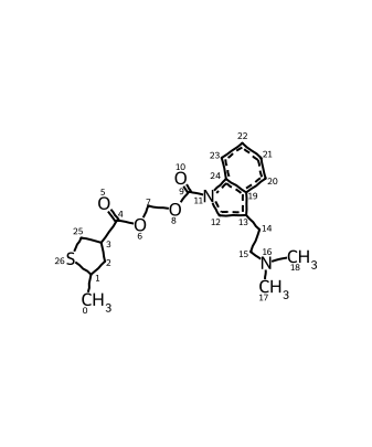 CC1CC(C(=O)OCOC(=O)n2cc(CCN(C)C)c3ccccc32)CS1